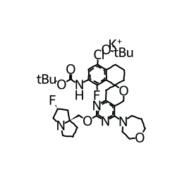 CC(C)(C)OC(=O)Nc1cc(Cl)c2c(c1F)C1(CCC2)Cc2nc(OC[C@@]34CCCN3C[C@H](F)C4)nc(N3CCCOCC3)c2CO1.CC(C)(C)[O-].[K+]